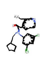 Cc1cnccc1C(=O)N(CC1CCCC1)c1cc(Cl)cc(Cl)c1